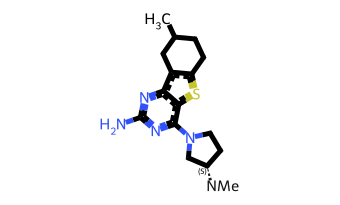 CN[C@H]1CCN(c2nc(N)nc3c4c(sc23)CCC(C)C4)C1